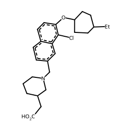 CCC1CCC(Oc2ccc3ccc(CN4CCCC(CC(=O)O)C4)cc3c2Cl)CC1